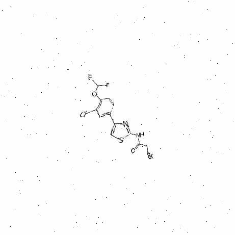 O=C(CBr)Nc1nc(-c2ccc(OC(F)F)c(Cl)c2)cs1